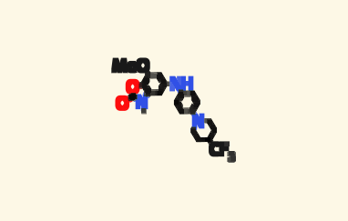 COc1cc(Nc2ccc(N3CCC(C(F)(F)F)CC3)cc2)cc2c1oc(=O)n2C